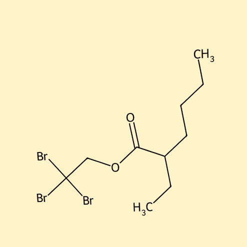 CCCCC(CC)C(=O)OCC(Br)(Br)Br